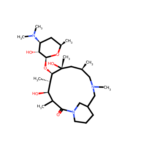 CC1C(=O)N2CCCC(CN(C)C[C@H](C)C[C@@](C)(O)[C@H](O[C@@H]3O[C@H](C)C[C@H](N(C)C)[C@H]3O)[C@@H](C)[C@@H]1O)C2